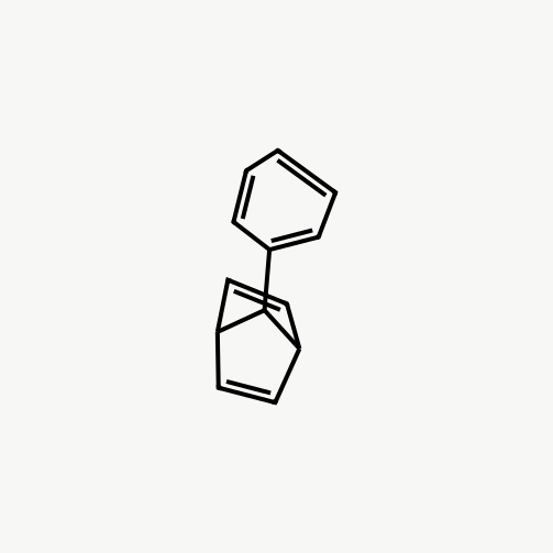 C1=CC2C=CC1C2c1ccccc1